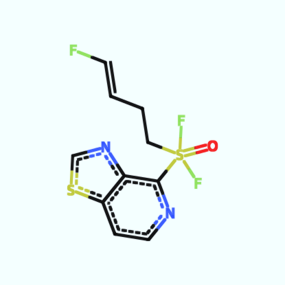 O=S(F)(F)(CCC=CF)c1nccc2scnc12